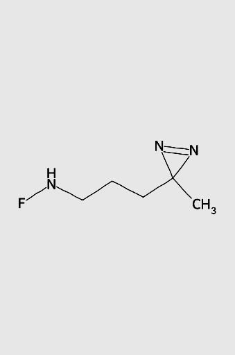 CC1(CCCNF)N=N1